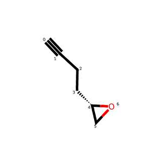 C#CCC[C@H]1CO1